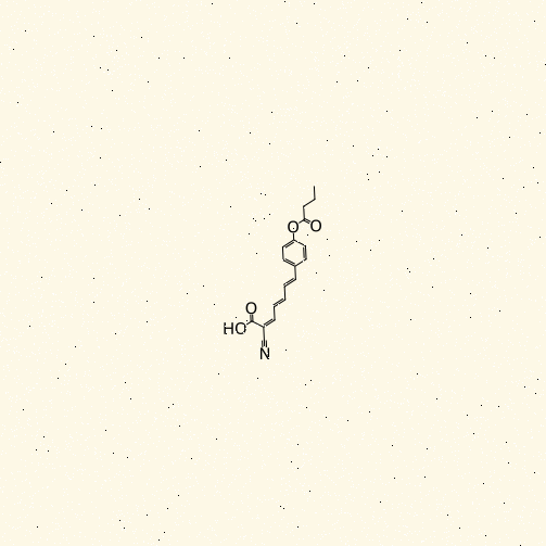 CCCC(=O)Oc1ccc(C=CC=CC=C(C#N)C(=O)O)cc1